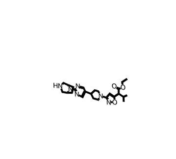 CCOC(=O)C(c1cc(N2CCC(c3cnc(N4C5CCC4CNC5)nc3)CC2)no1)C(C)C